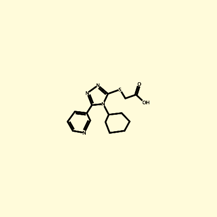 O=C(O)CSc1nnc(-c2cccnc2)n1C1CCCCC1